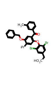 Cc1cccc(C(=O)c2cc(OCc3ccccc3)c(C(C)C)cc2Oc2c(Br)cc(CC(=O)O)cc2Br)c1